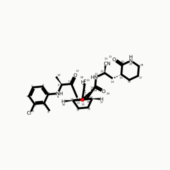 Cc1c(Cl)cccc1N[C@@H](C)C(=O)N1[C@H]2CC[C@@H]([C@@H]1C(=O)N[C@@H](C#N)C[C@H]1CCCNC1=O)C(F)(F)C2